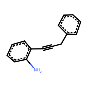 Nc1ccccc1C#CCc1ccccc1